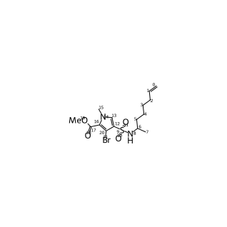 C=CCCCCC(C)NS(=O)(=O)c1cn(C)c(C(=O)OC)c1Br